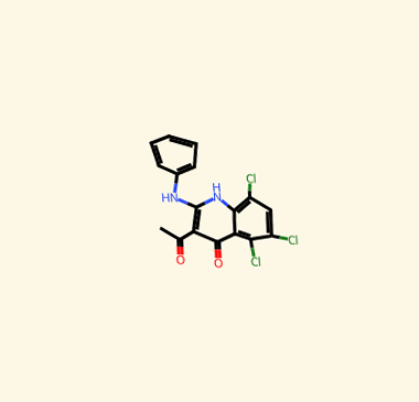 CC(=O)c1c(Nc2ccccc2)[nH]c2c(Cl)cc(Cl)c(Cl)c2c1=O